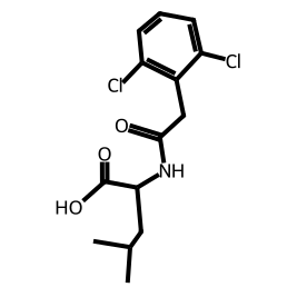 CC(C)CC(NC(=O)Cc1c(Cl)cccc1Cl)C(=O)O